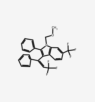 COCn1c(-c2ccccc2)c(/C(=C\C(F)(F)F)c2ccccc2)c2ccc(C(F)(F)F)cc21